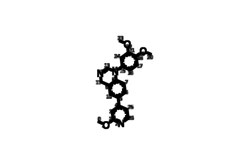 COc1cc(-c2ccc3c(c2)CN=CN3c2ccc(OC)c(OC)c2)ccn1